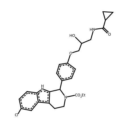 CCOC(=O)N1CCc2c([nH]c3ccc(Cl)cc23)C1c1ccc(OCC(O)CNC(=O)C2CC2)cc1